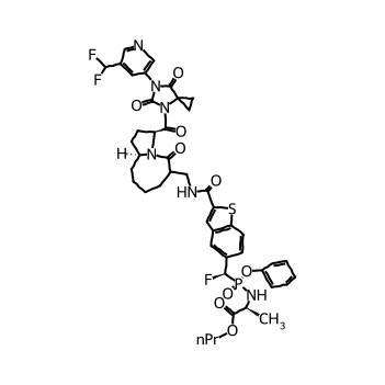 CCCOC(=O)[C@H](C)NP(=O)(Oc1ccccc1)[C@@H](F)c1ccc2sc(C(=O)NCC3CCCC[C@H]4CC[C@@H](C(=O)N5C(=O)N(c6cncc(C(F)F)c6)C(=O)C56CC6)N4C3=O)cc2c1